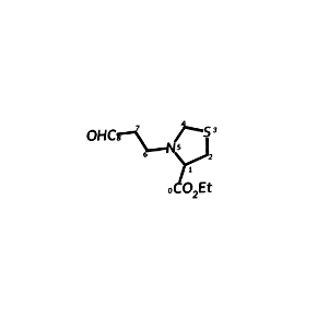 CCOC(=O)C1CSCN1CCC=O